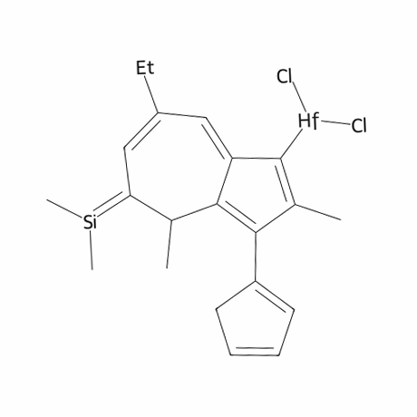 CCC1=CC(=[Si](C)C)C(C)C2=C(C3=CC=CC3)C(C)=[C]([Hf]([Cl])[Cl])C2=C1